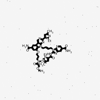 CCn1nc(C)cc1C(=O)Nc1nc2cc(C(N)=O)cnc2n1CC=CCn1c2nc(-c3cc(C)nn3CC)ncc2c2cc(C(N)=O)cc(OCCCN(C)C(=O)CON)c21